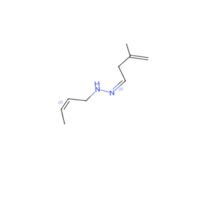 C=C(C)C/C=N\NC/C=C\C